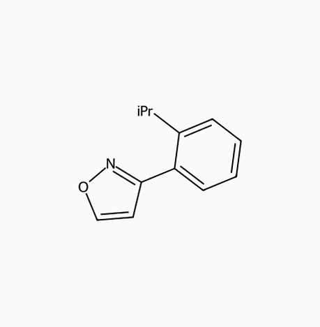 CC(C)c1ccccc1-c1ccon1